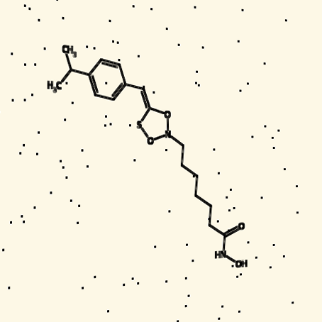 CC(C)c1ccc(/C=C2/ON(CCCCCCC(=O)NO)OS2)cc1